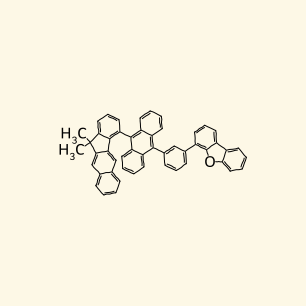 CC1(C)c2cc3ccccc3cc2-c2c(-c3c4ccccc4c(-c4cccc(-c5cccc6c5oc5ccccc56)c4)c4ccccc34)cccc21